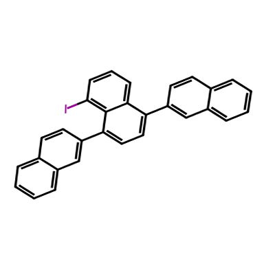 Ic1cccc2c(-c3ccc4ccccc4c3)ccc(-c3ccc4ccccc4c3)c12